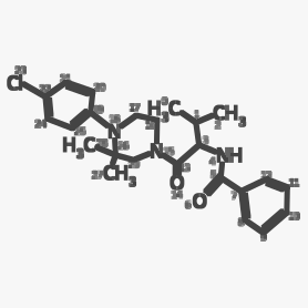 CC(C)C(NC(=O)c1ccccc1)C(=O)N1CCN(c2ccc(Cl)cc2)C(C)(C)C1